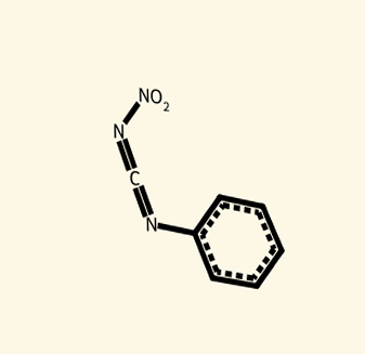 O=[N+]([O-])N=C=Nc1ccccc1